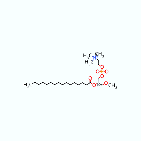 CCCCCCCCCCCCCCCC(=O)O[C@H](COC)COP(=O)([O-])OCC[N+](C)(C)C